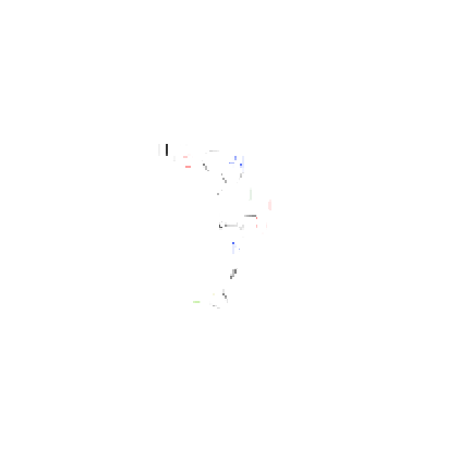 COc1ccc2ncc(Cl)c([C@@H](F)CC[C@@H]3CCN(CC#Cc4ccc(F)s4)C[C@H]3CC(=O)O)c2c1